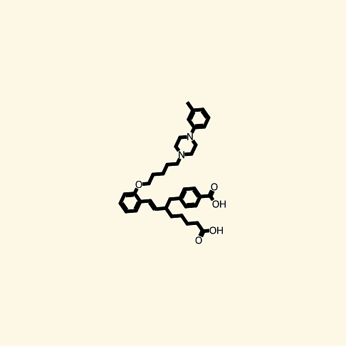 Cc1cccc(N2CCN(CCCCCOc3ccccc3/C=C/C(CCCCC(=O)O)Cc3ccc(C(=O)O)cc3)CC2)c1